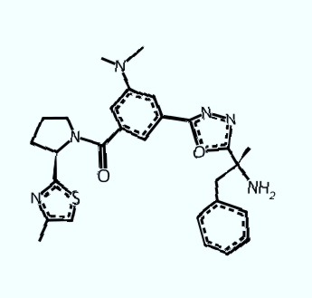 Cc1csc([C@H]2CCCN2C(=O)c2cc(-c3nnc([C@](C)(N)Cc4ccccc4)o3)cc(N(C)C)c2)n1